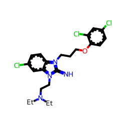 CCN(CC)CCn1c(=N)n(CCCOc2ccc(Cl)cc2Cl)c2ccc(Cl)cc21